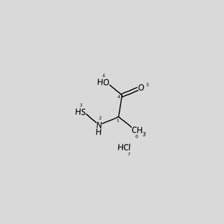 CC(NS)C(=O)O.Cl